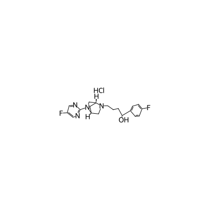 Cl.OC(CCCN1C[C@H]2C[C@@H]1CN2c1ncc(F)cn1)c1ccc(F)cc1